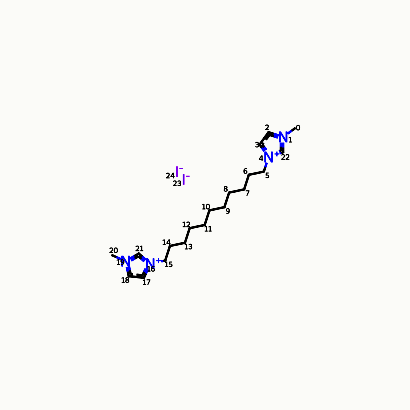 Cn1cc[n+](CCCCCCCCCCC[n+]2ccn(C)c2)c1.[I-].[I-]